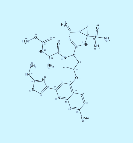 C=CC1CC1(NC(=O)C1CC(Oc2cc(-c3csc(NN)n3)nc3cc(OC)ccc23)CN1C(=O)C(N)NC(=O)ON)P(N)(N)=O